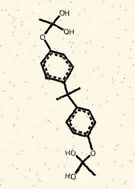 CC(O)(O)Oc1ccc(C(C)(C)c2ccc(OC(C)(O)O)cc2)cc1